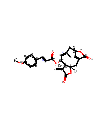 C=C1C(=O)O[C@H]2CC3=C[C@@H](C/C(C)=C/[C@@H](OC(=O)/C=C/c4ccc(OCC)cc4)[C@H]12)OC3=O